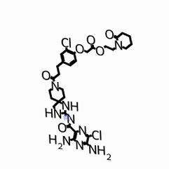 Nc1nc(N)c(C(=O)/N=C2\NCC3(CCN(C(=O)CCc4ccc(OCC(=O)OCCN5CCCCC5=O)c(Cl)c4)CC3)N2)nc1Cl